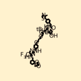 Cc1ncsc1-c1ccc(CNC(=O)[C@@H]2C[C@@H](O)CN2C(=O)C(NC(=O)COCCCOc2ccc(Nc3ncc(C(F)(F)F)c(NCc4cccc(N(C)S(C)(=O)=O)c4)n3)cc2)C(C)(C)C)cc1